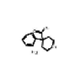 CCCC(=O)C1(c2ccccc2)CCNCC1.Cl